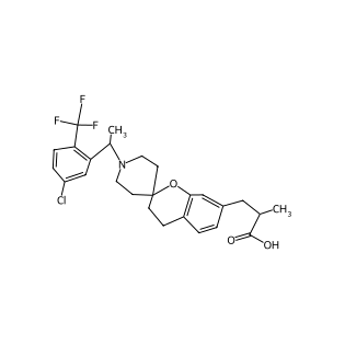 CC(Cc1ccc2c(c1)OC1(CC2)CCN(C(C)c2cc(Cl)ccc2C(F)(F)F)CC1)C(=O)O